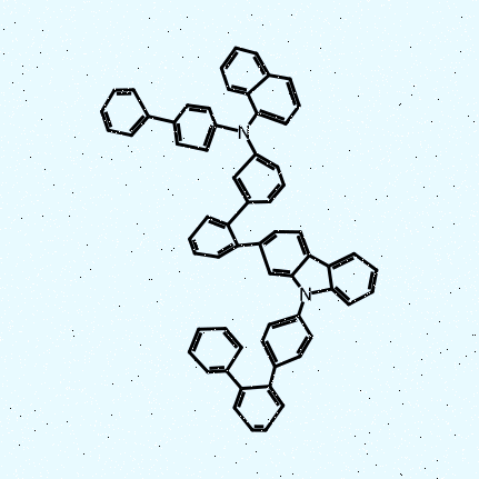 c1ccc(-c2ccc(N(c3cccc(-c4ccccc4-c4ccc5c6ccccc6n(-c6ccc(-c7ccccc7-c7ccccc7)cc6)c5c4)c3)c3cccc4ccccc34)cc2)cc1